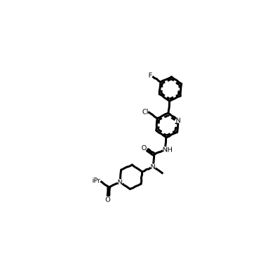 CC(C)C(=O)N1CCC(N(C)C(=O)Nc2cnc(-c3cccc(F)c3)c(Cl)c2)CC1